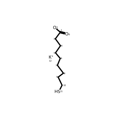 O=C([O-])CCCCCCCCS.[K+]